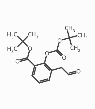 CC(C)(C)OC(=O)Oc1c(CC=O)cccc1C(=O)OC(C)(C)C